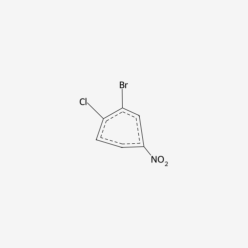 O=[N+]([O-])c1ccc(Cl)c(Br)c1